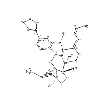 CC#C[C@]1(C(C)=O)CC[C@H]2[C@@H]3CCC4=CC(=NO)CCC4=C3[C@@H](c3ccc(N4CCCC4)cc3)C[C@@]21C